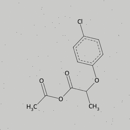 CC(=O)OC(=O)C(C)Oc1ccc(Cl)cc1